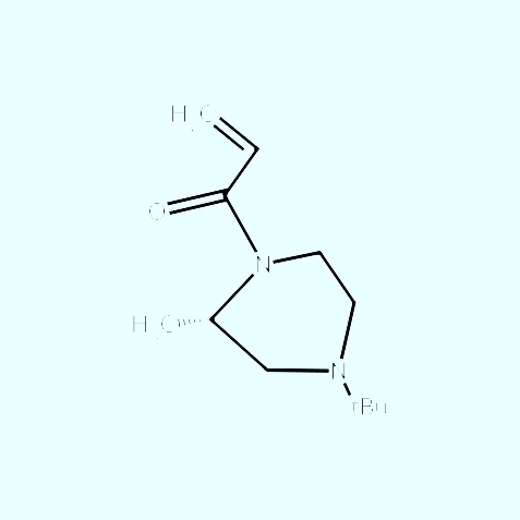 C=CC(=O)N1CCN(C(C)(C)C)C[C@@H]1C